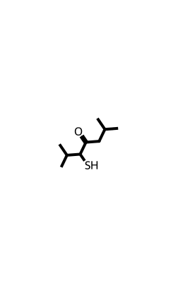 CC(C)CC(=O)C(S)C(C)C